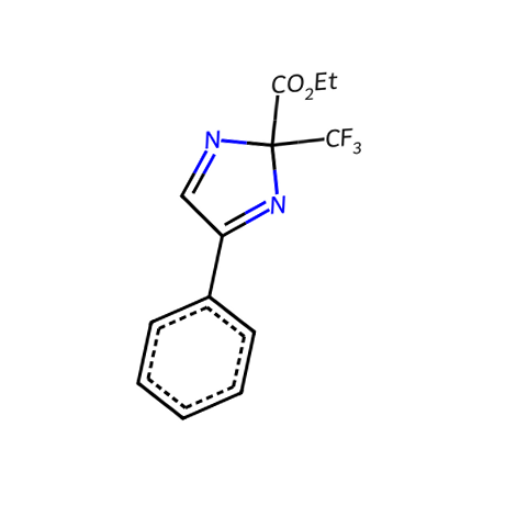 CCOC(=O)C1(C(F)(F)F)N=CC(c2ccccc2)=N1